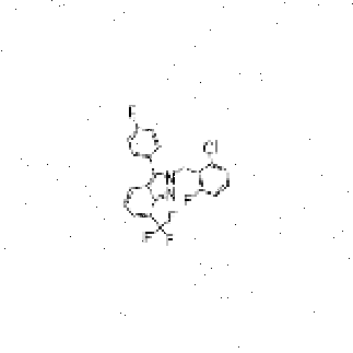 Fc1ccc(-c2c3cccc(C(F)(F)F)c3nn2Cc2c(F)cccc2Cl)cc1